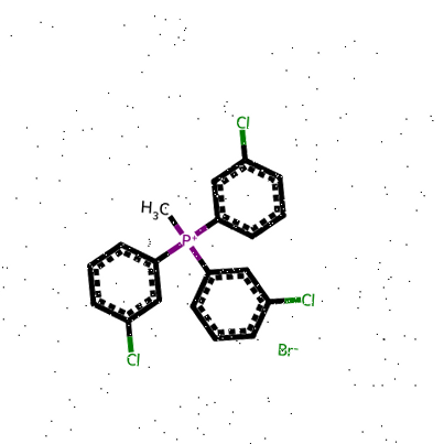 C[P+](c1cccc(Cl)c1)(c1cccc(Cl)c1)c1cccc(Cl)c1.[Br-]